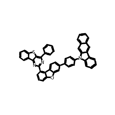 c1ccc(-c2nc(-c3cccc4oc5cc(-c6ccc(-n7c8ccccc8c8cc9ccccc9cc87)cc6)ccc5c34)nc3c2sc2ccccc23)cc1